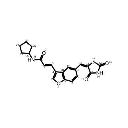 O=C(C=Cc1coc2ccc(C=C3SC(=O)NC3=O)cc12)NC1CCCC1